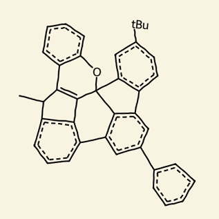 CC1C2=C3c4c(cccc41)-c1cc(-c4ccccc4)cc4c1C3(Oc1ccccc12)c1cc(C(C)(C)C)ccc1-4